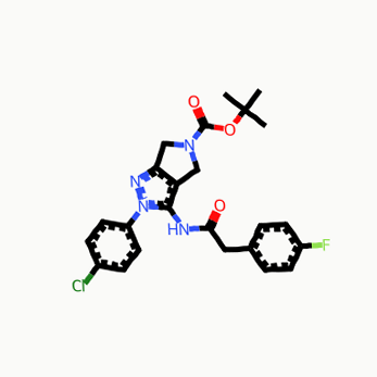 CC(C)(C)OC(=O)N1Cc2nn(-c3ccc(Cl)cc3)c(NC(=O)Cc3ccc(F)cc3)c2C1